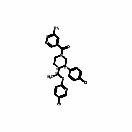 Cc1cc(C(=O)N2CC[C@H]([C@H](C)Oc3ccc(C#N)cn3)[C@@H](c3ccc(Cl)cc3)C2)cnn1